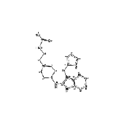 O=C(O)NCCN1CCC(Nc2nc3cncnc3n2Cc2cccs2)CC1